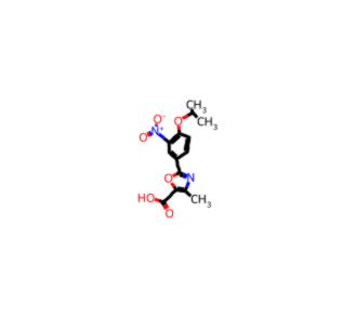 Cc1nc(-c2ccc(OC(C)C)c([N+](=O)[O-])c2)oc1C(=O)O